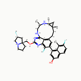 CCc1c(F)ccc2cc(O)cc(-c3cc4c5c(nc(OC[C@@]67CCCN6C[C@H](F)C7)nc5c3F)NC[C@@H](CC)N[C@H]3C[C@@H]3CC4)c12